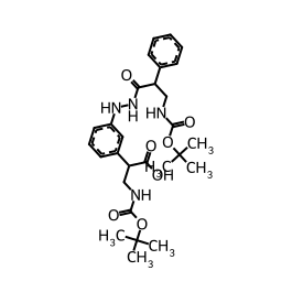 CC(C)(C)OC(=O)NCC(C(=O)O)c1cccc(NNC(=O)C(CNC(=O)OC(C)(C)C)c2ccccc2)c1